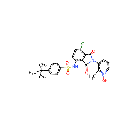 Cc1c(N2C(=O)c3c(Cl)ccc(NS(=O)(=O)c4ccc(C(C)(C)C)cc4)c3C2=O)ccc[n+]1O